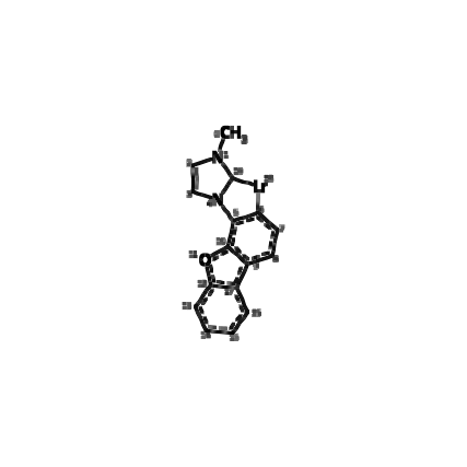 CN1C=CN2c3[c](ccc4c3oc3ccccc34)[Lr][CH]12